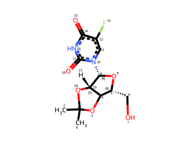 CC1(C)OC2[C@@H](CO)O[C@@H](n3cc(F)c(=O)[nH]c3=O)[C@H]2O1